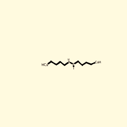 [CaH][CH2]CCCBP(I)CCC[CH2][CaH]